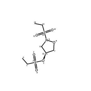 CCS(=O)(=O)O[C@@H]1CON(S(=O)(=O)CC)C1